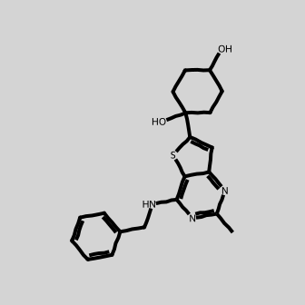 Cc1nc(NCc2ccccc2)c2sc(C3(O)CCC(O)CC3)cc2n1